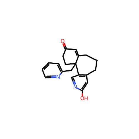 O=C1C=C2CCCc3cc(O)ncc3C2(Cc2ccccn2)CC1